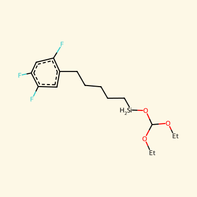 CCOC(OCC)O[SiH2]CCCCCc1cc(F)c(F)cc1F